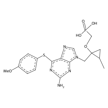 COc1ccc(Sc2nc(N)nc3c2ncn3CC2(OCP(=O)(O)O)CC2C)cc1